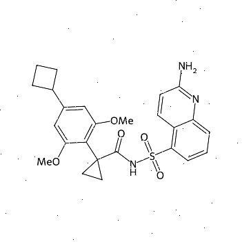 COc1cc(C2CCC2)cc(OC)c1C1(C(=O)NS(=O)(=O)c2cccc3nc(N)ccc23)CC1